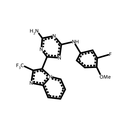 COc1ccc(Nc2nc(N)nc(-c3c(C(F)(F)F)nc4ccccn34)n2)cc1F